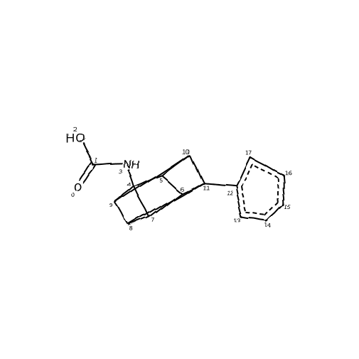 O=C(O)NC12C3C4C1C1C2C3C41c1ccccc1